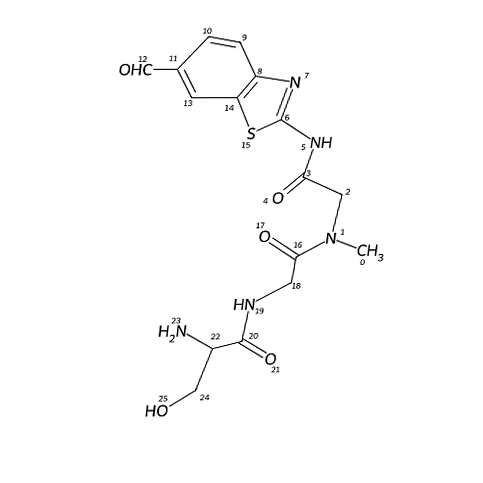 CN(CC(=O)Nc1nc2ccc(C=O)cc2s1)C(=O)CNC(=O)C(N)CO